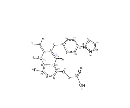 COC(=C(C)C)/C(Cc1ccc(-n2cccn2)cc1)=C(/C)c1c(OCC(=O)O)ccc(F)c1C